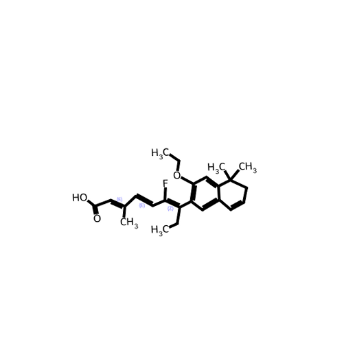 CCOc1cc2c(cc1/C(CC)=C(F)/C=C/C(C)=C/C(=O)O)C=CCC2(C)C